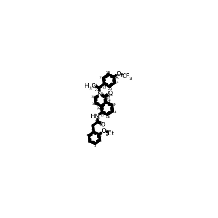 CCOc1ccccc1CC(=O)Nc1cccc2c(=O)n(C(C)c3ccc(OC(F)(F)F)cc3)ccc12